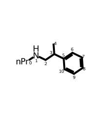 CCCNCC(C)c1ccccc1